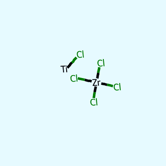 [Cl][Ti].[Cl][Zr]([Cl])([Cl])[Cl]